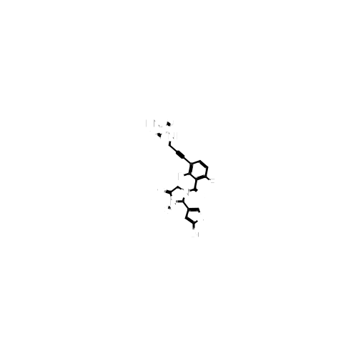 NS(=O)(=O)NCC#Cc1ccc(F)c(C(=O)N2CC(=O)N(O)C2c2csc(Br)c2)c1F